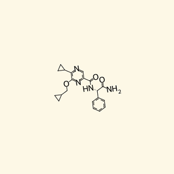 NC(=O)[C@@H](NC(=O)c1cnc(C2CC2)c(OCC2CC2)n1)c1ccccc1